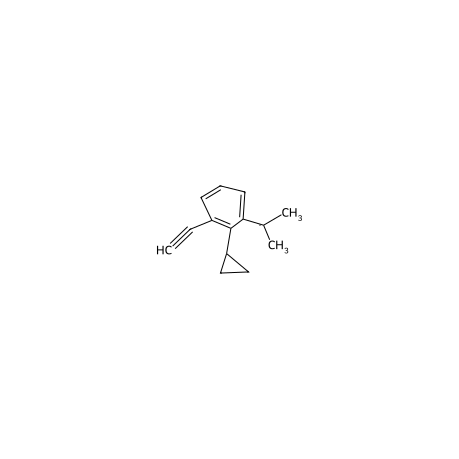 C#Cc1cccc([C](C)C)c1C1CC1